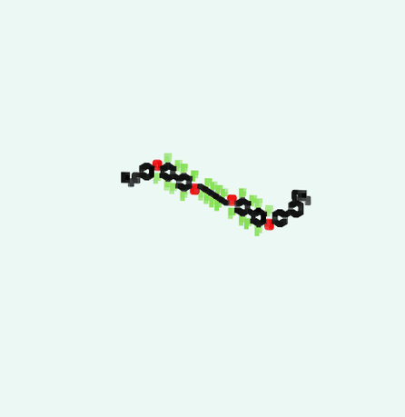 Cc1ccc(Oc2c(F)c(F)c(-c3c(F)c(F)c(OCC(F)(F)C(F)(F)C(F)(F)C(F)(F)COc4c(F)c(F)c(-c5c(F)c(F)c(Oc6ccc(-c7cccc(C)c7)cc6)c(F)c5F)c(F)c4F)c(F)c3F)c(F)c2F)cc1